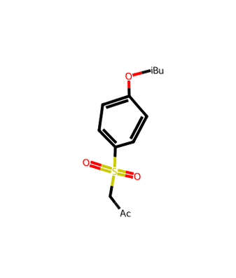 CCC(C)Oc1ccc(S(=O)(=O)CC(C)=O)cc1